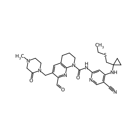 CCSCC1(Nc2cc(NC(=O)N3CCCc4cc(CN5CCN(C)CC5=O)c(C=O)nc43)ncc2C#N)CC1